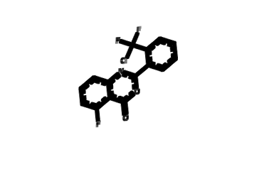 O=c1oc(-c2ccccc2C(F)(F)Cl)nc2cccc(F)c12